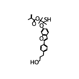 C=C(C)C(=O)OC(C)(C)C(C)(S)Oc1ccc2cc(-c3ccc(CCCO)cc3)oc2c1